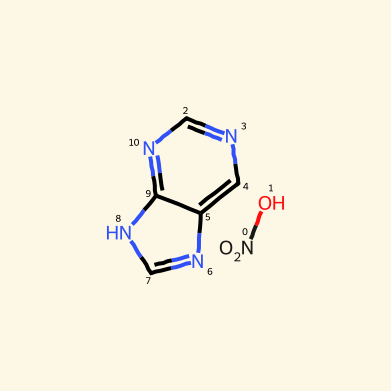 O=[N+]([O-])O.c1ncc2nc[nH]c2n1